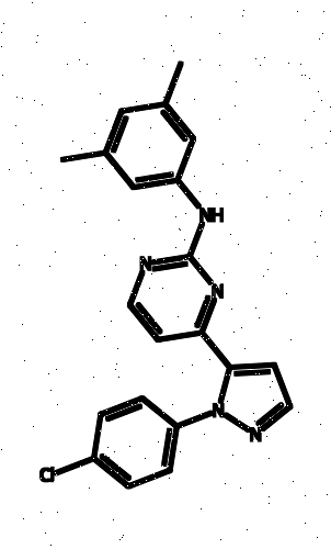 Cc1cc(C)cc(Nc2nccc(-c3ccnn3-c3ccc(Cl)cc3)n2)c1